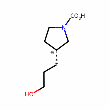 O=C(O)N1CC[C@@H](CCCO)C1